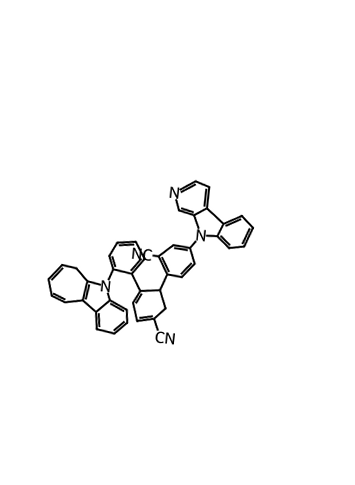 N#CC1=CC=C(c2ccccc2-n2c3c(c4ccccc42)C=CC=CC3)C(c2ccc(-n3c4ccccc4c4ccncc43)cc2C#N)C1